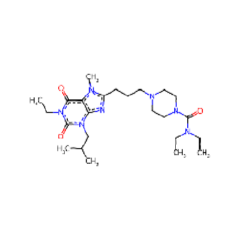 CCN(CC)C(=O)N1CCN(CCCc2nc3c(c(=O)n(CC)c(=O)n3CC(C)C)n2C)CC1